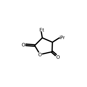 CCC1C(=O)OC(=O)C1C(C)C